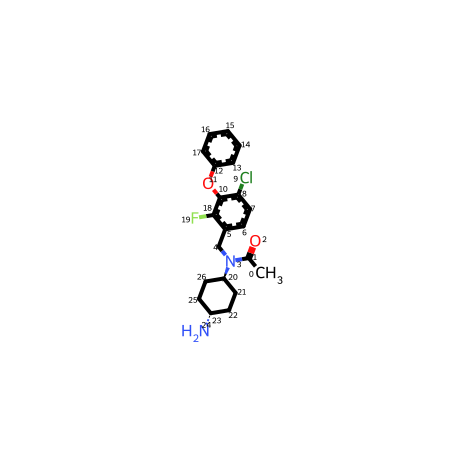 CC(=O)N(Cc1ccc(Cl)c(Oc2ccccc2)c1F)[C@H]1CC[C@H](N)CC1